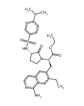 CCOC(=O)[C@@H](Cc1cc2ccnc(N)c2cc1CC)N1CC[C@H](NS(=O)(=O)c2ccc(N(C)C)nc2)C1=O